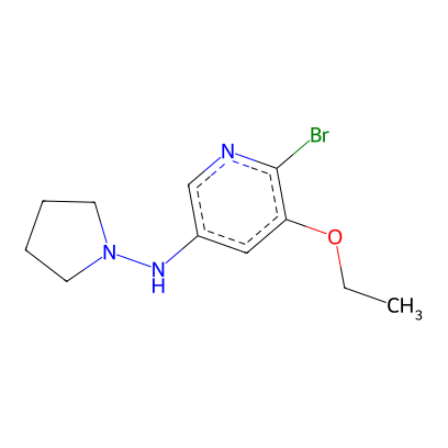 CCOc1cc(NN2CCCC2)cnc1Br